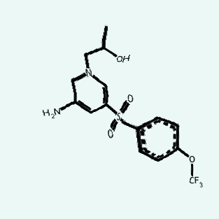 CC(O)CN1C=C(S(=O)(=O)c2ccc(OC(F)(F)F)cc2)C=C(N)C1